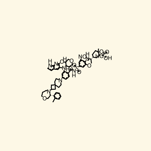 Cc1ccccc1[C@@H]1COCCCN1C1CC2(CCN(c3ccc(C(=O)NS(=O)(=O)c4cc5c(c([N+](=O)[O-])c4)N[C@H](C4CCC(C)(OP(=O)(O)O)CC4)CO5)c(N4c5cc6cc[nH]c6nc5O[C@H]5COCC[C@@H]54)c3)CC2)C1